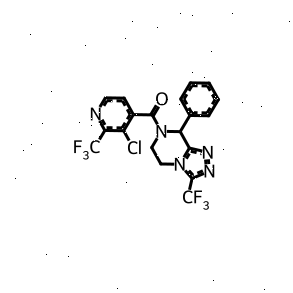 O=C(c1ccnc(C(F)(F)F)c1Cl)N1CCn2c(nnc2C(F)(F)F)C1c1ccccc1